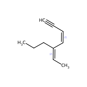 C#C/C=C\C(=C/C)CCC